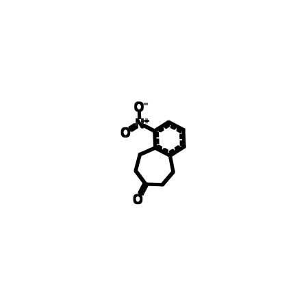 O=C1CCc2cccc([N+](=O)[O-])c2CC1